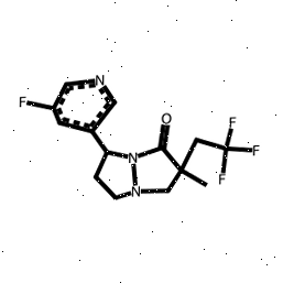 CC1(CC(F)(F)F)CN2CCC(c3cncc(F)c3)N2C1=O